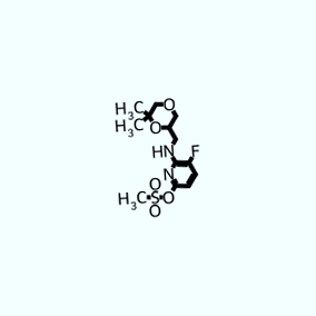 CC1(C)COCC(CNc2nc(OS(C)(=O)=O)ccc2F)O1